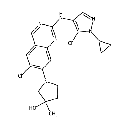 CC1(O)CCN(c2cc3nc(Nc4cnn(C5CC5)c4Cl)ncc3cc2Cl)C1